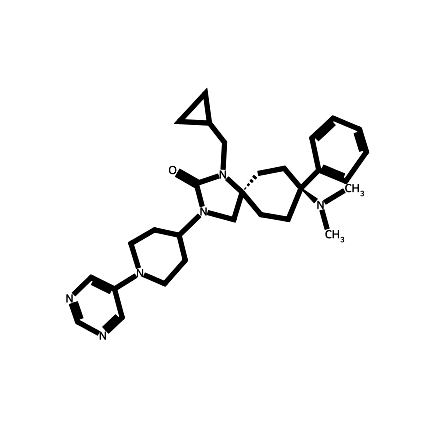 CN(C)[C@]1(c2ccccc2)CC[C@]2(CC1)CN(C1CCN(c3cncnc3)CC1)C(=O)N2CC1CC1